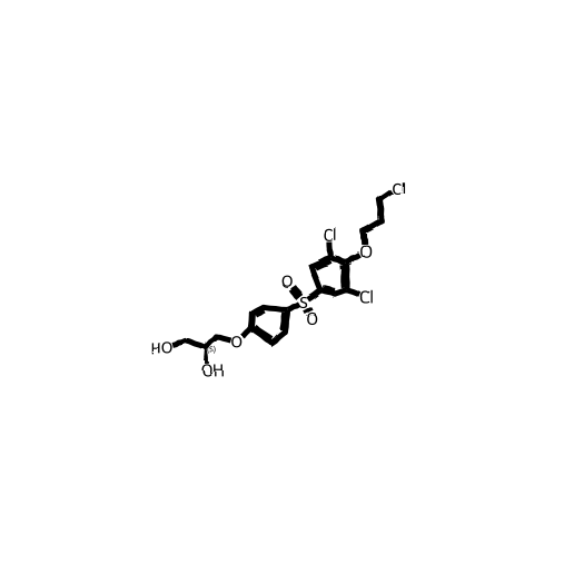 O=S(=O)(c1ccc(OC[C@@H](O)CO)cc1)c1cc(Cl)c(OCCCCl)c(Cl)c1